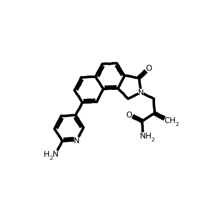 C=C(CN1Cc2c(ccc3ccc(-c4ccc(N)nc4)cc23)C1=O)C(N)=O